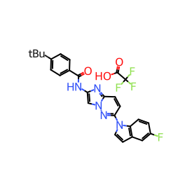 CC(C)(C)c1ccc(C(=O)Nc2cn3nc(-n4ccc5cc(F)ccc54)ccc3n2)cc1.O=C(O)C(F)(F)F